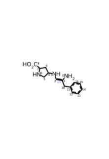 N/C(=C\NC1CNC(C(=O)O)C1)Cc1ccccc1